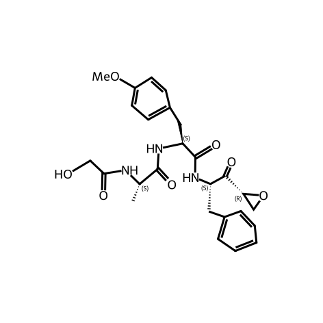 COc1ccc(C[C@H](NC(=O)[C@H](C)NC(=O)CO)C(=O)N[C@@H](Cc2ccccc2)C(=O)[C@H]2CO2)cc1